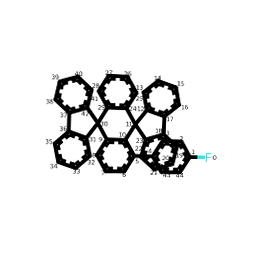 Fc1ccc(-c2cccc3c2C2(c4ccccc4-c4ccccc42)c2ccccc2C32c3ccccc3-c3ccccc32)cc1